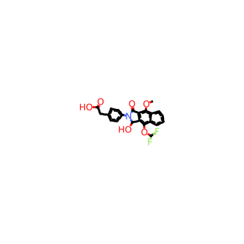 COc1c2c(c(OC(F)F)c3ccccc13)C(O)N(c1ccc(CC(=O)O)cc1)C2=O